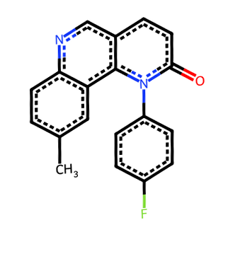 Cc1ccc2ncc3ccc(=O)n(-c4ccc(F)cc4)c3c2c1